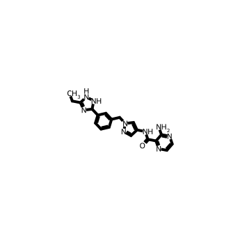 CCC1=NC(c2cccc(Cn3cc(NC(=O)c4nccnc4N)cn3)c2)NN1